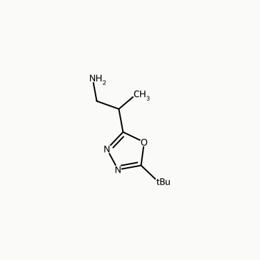 CC(CN)c1nnc(C(C)(C)C)o1